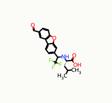 CC(C)C[C@H](NC(c1ccc2c(c1)oc1ccc(C=O)cc12)C(F)(F)F)C(=O)O